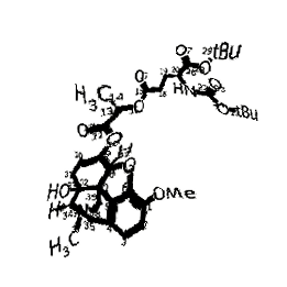 COc1ccc2c3c1O[C@H]1C(OC(=O)[C@H](C)OC(=O)CC[C@H](NC(=O)OC(C)(C)C)C(=O)OC(C)(C)C)=CC[C@@]4(O)[C@@H](C2)N(C)CC[C@]314